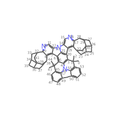 CC1(C)c2c3c(c4c5c6c(ncc5n5c7cnc8c(c7c2c45)C2CC4CC5CC8CC54C2)C2CC4CC5CC6CC45C2)C(C)(C)c2cccc4c5cccc1c5n-3c24